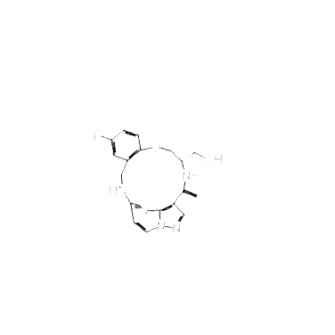 C=C1N[C@H](CO)COc2ccc(F)cc2[C@@H](C)Nc2ccn3ncc1c3n2